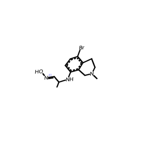 CC(/C=N/O)Nc1ccc(Br)c2c1CN(C)CC2